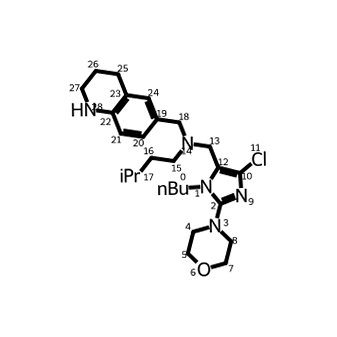 CCCCn1c(N2CCOCC2)nc(Cl)c1CN(CCC(C)C)Cc1ccc2c(c1)CCCN2